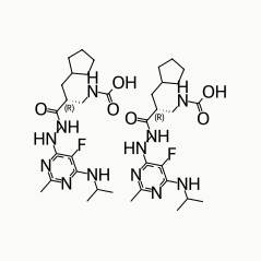 Cc1nc(NNC(=O)[C@@H](CNC(=O)O)CC2CCCC2)c(F)c(NC(C)C)n1.Cc1nc(NNC(=O)[C@@H](CNC(=O)O)CC2CCCC2)c(F)c(NC(C)C)n1